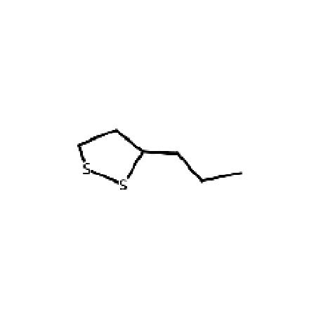 CCCC1CCSS1